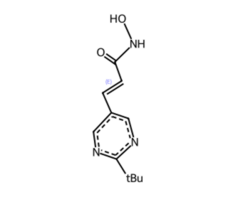 CC(C)(C)c1ncc(/C=C/C(=O)NO)cn1